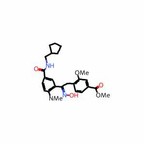 CNc1ccc(C(=O)NCC2CCCC2)cc1C(Cc1ccc(C(=O)OC)cc1OC)=NO